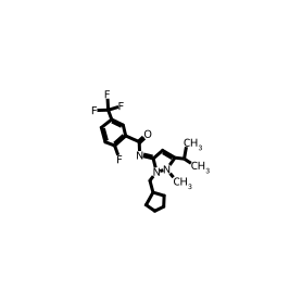 CC(C)c1cc(=NC(=O)c2cc(C(F)(F)F)ccc2F)n(CC2CCCC2)n1C